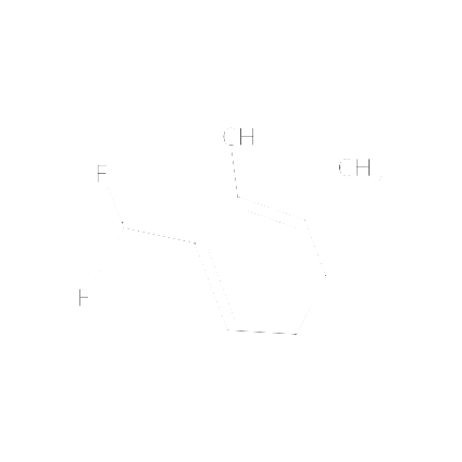 Cc1cccc([C](F)F)c1C